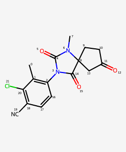 Cc1c(N2C(=O)N(C)C3(CCC(=O)C3)C2=O)ccc(C#N)c1Cl